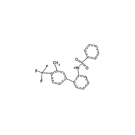 Cc1cc(-c2ccccc2NS(=O)(=O)c2ccccc2)ccc1C(F)(F)F